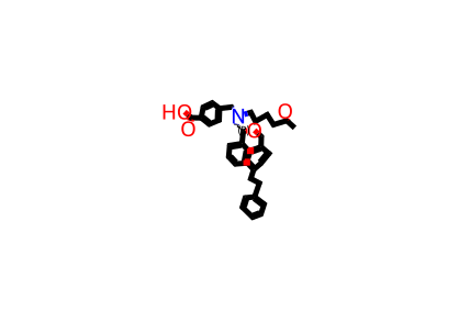 CC(=O)CCCCN(Cc1ccc(C(=O)O)cc1)C[C@H](OCc1ccc(CCc2ccccc2)cc1)c1ccccc1